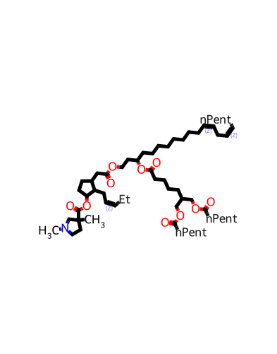 CC/C=C\CC1C(CC(=O)OCCC(CCCCCCCC/C=C\C/C=C\CCCCC)OC(=O)CCCCC(COC(=O)CCCCC)COC(=O)CCCCC)CCC1OC(=O)C1(C)CCN(C)C1